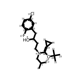 CC(F)CN(CCC(O)Cc1cc(Cl)ccc1F)C(OC(C)(C)C)=C1CC1